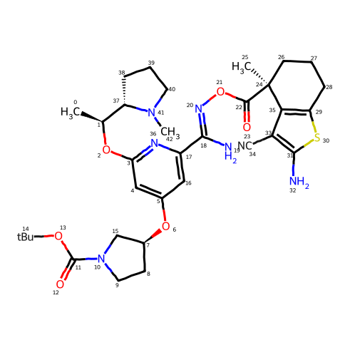 C[C@H](Oc1cc(O[C@H]2CCN(C(=O)OC(C)(C)C)C2)cc(/C(N)=N/OC(=O)[C@@]2(C)CCCc3sc(N)c(C#N)c32)n1)[C@@H]1CCCN1C